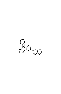 c1ccc(-n2c3ccccc3c3cc(-c4ccc5ccccc5c4)ccc32)cc1